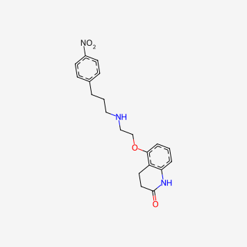 O=C1CCc2c(cccc2OCCNCCCc2ccc([N+](=O)[O-])cc2)N1